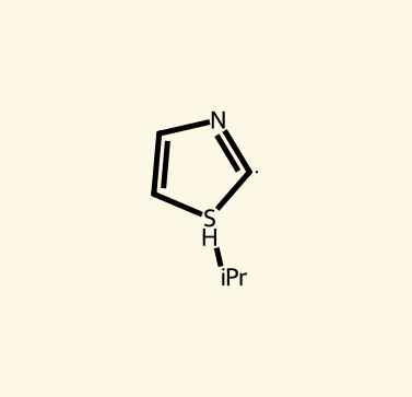 CC(C)[SH]1[C]=NC=C1